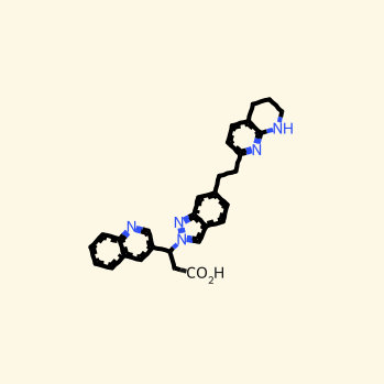 O=C(O)CC(c1cnc2ccccc2c1)n1cc2ccc(CCc3ccc4c(n3)NCCC4)cc2n1